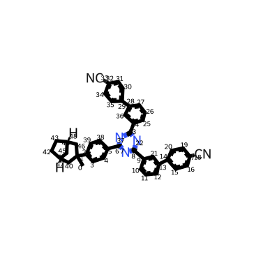 CC1(c2ccc(-c3nc(-c4cccc(-c5ccc(C#N)cc5)c4)nc(-c4cccc(-c5ccc(C#N)cc5)c4)n3)cc2)C[C@@H]2CC[C@@H](C2)C1